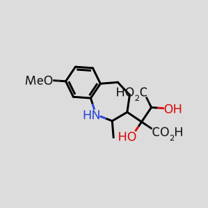 COc1ccc2c(c1)NC(C)C(C(O)(C(=O)O)C(O)C(=O)O)CC2